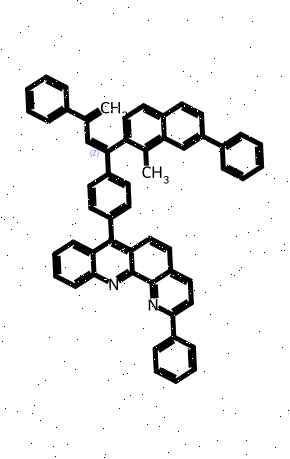 C=C(/C=C(/c1ccc(-c2c3ccccc3nc3c2ccc2ccc(-c4ccccc4)nc23)cc1)c1ccc2ccc(-c3ccccc3)cc2c1C)c1ccccc1